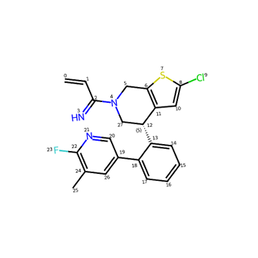 C=CC(=N)N1Cc2sc(Cl)cc2[C@H](c2ccccc2-c2cnc(F)c(C)c2)C1